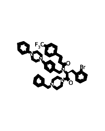 O=C([C@H](Cc1ccccc1Br)N(Cc1ccc(N2CCN(c3ccccc3)CC2)cc1)C(=O)/C=C/c1ccc(C(F)(F)F)cc1)N1CCN(Cc2ccccc2)CC1